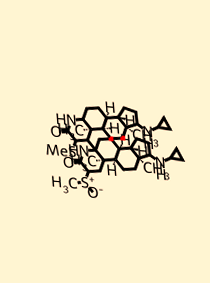 CSC1C(=O)NC2CC[C@@H]3[C@@H](CC[C@]4(C)C(NC5CC5)CC[C@@H]34)[C@@]2(C)C1C12CC[C@@H]3[C@@H](CC[C@]4(C)C(NC5CC5)CC[C@@H]34)[C@@]1(C)CC([S+](C)[O-])C(=O)N2